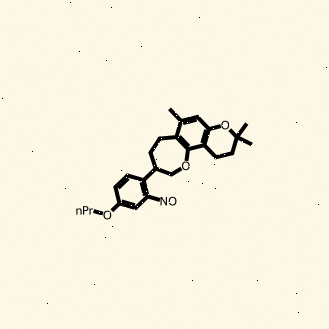 CCCOc1ccc(C2CCc3c(C)cc4c(c3OC2)CCC(C)(C)O4)c(N=O)c1